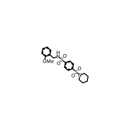 COc1ccccc1CNS(=O)(=O)c1ccc(S(=O)(=O)N2CCCCC2)cc1